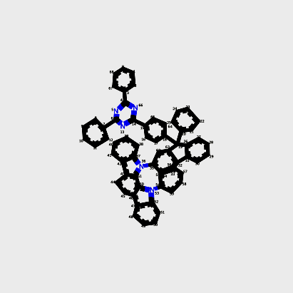 c1ccc(-c2nc(-c3ccccc3)nc(-c3ccc(C4(c5ccccc5)c5ccccc5-c5ccc(-n6c7ccccc7c7ccc8c9ccccc9n(-c9ccccc9)c8c76)cc54)cc3)n2)cc1